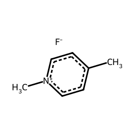 Cc1cc[n+](C)cc1.[F-]